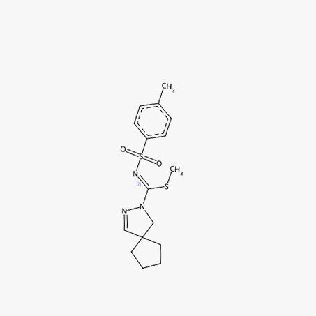 CS/C(=N\S(=O)(=O)c1ccc(C)cc1)N1CC2(C=N1)CCCC2